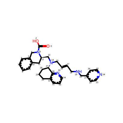 O=C(O)N1Cc2ccccc2C[C@@H]1CN(C/C=C/CNCc1ccncc1)[C@H]1CCCc2cccnc21